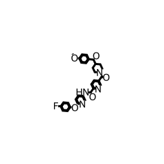 COc1ccc(C(=O)C2CCN(C(=O)c3ccc(C(=O)Nc4ccc(Oc5ccc(F)cc5)nc4)nc3)CC2)cc1